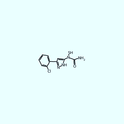 NC(=O)N(S)c1cc(-c2ccccc2Cl)n[nH]1